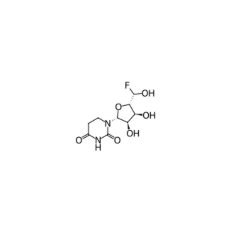 O=C1CCN([C@@H]2O[C@H](C(O)F)[C@@H](O)[C@H]2O)C(=O)N1